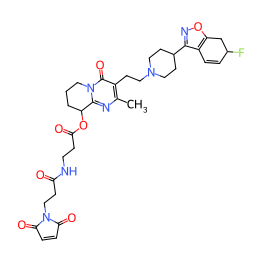 Cc1nc2n(c(=O)c1CCN1CCC(c3noc4c3C=CC(F)C4)CC1)CCCC2OC(=O)CCNC(=O)CCN1C(=O)C=CC1=O